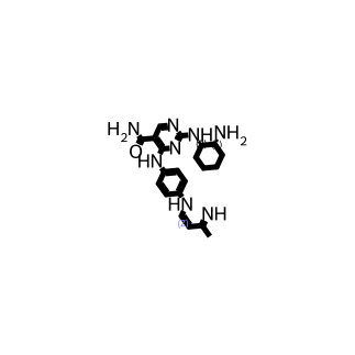 CC(=N)/C=C\Nc1ccc(Nc2nc(N[C@@H]3CCCC[C@@H]3N)ncc2C(N)=O)cc1